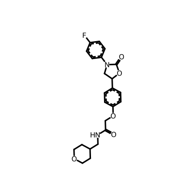 O=C(COc1ccc(C2CN(c3ccc(F)cc3)C(=O)O2)cc1)NCC1CCOCC1